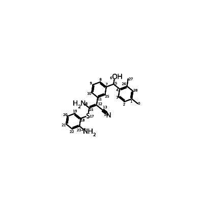 Cc1ccc(C(O)c2cccc(/C(C#N)=C(\N)Sc3ccccc3N)c2)c(C)c1